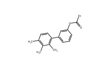 CCC(=O)Oc1cccc(-c2ccc(C)c(C)c2C)c1